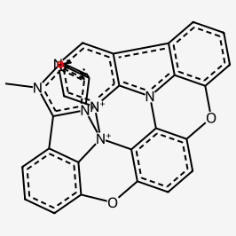 Cn1c2[n+](c3ccccc31)[N+]13c4c(cccc4-2)Oc2ccc4c(c21)-n1c2c(cccc2c2cnc[n+]3c21)O4